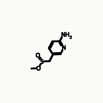 COS(=O)Cc1ccc(N)nc1